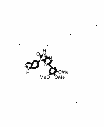 COc1cc(-c2cnc3[nH]c(=O)n(-c4ccc5[nH]ncc5c4)c3n2)cc(OC)c1OC